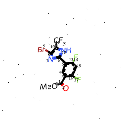 COC(=O)c1cc(-c2nc(Br)c(C(F)(F)F)[nH]2)c(F)cc1F